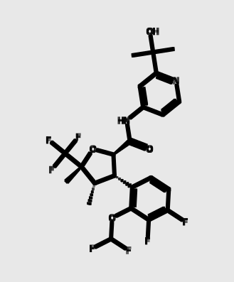 C[C@H]1[C@@H](c2ccc(F)c(F)c2OC(F)F)[C@H](C(=O)Nc2ccnc(C(C)(C)O)c2)O[C@@]1(C)C(F)(F)F